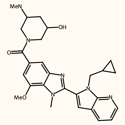 CNC1CC(O)CN(C(=O)c2cc(OC)c3c(c2)nc(-c2cc4cccnc4n2CC2CC2)n3C)C1